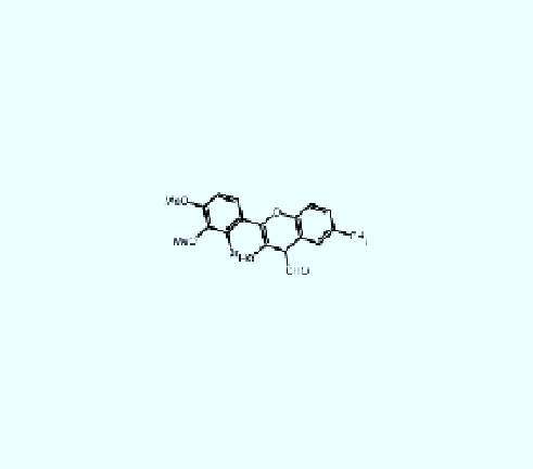 COc1ccc(C2=C(O)C(C=O)c3cc(C)ccc3O2)c(Br)c1OC